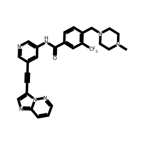 CN1CCN(Cc2ccc(C(=O)Nc3cncc(C#Cc4cnc5cccnn45)c3)cc2C(F)(F)F)CC1